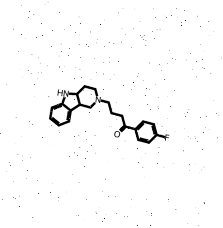 O=C(CCCN1CCC2Nc3ccccc3C2C1)c1ccc(F)cc1